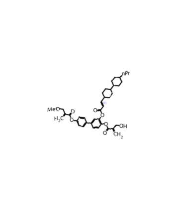 C=C(COC)C(=O)Oc1ccc(-c2ccc(OC(=O)C(=C)CO)c(OC(=O)/C=C/C3CCC(C4CCC(CCC)CC4)CC3)c2)cc1